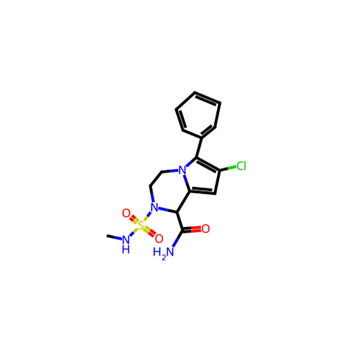 CNS(=O)(=O)N1CCn2c(cc(Cl)c2-c2ccccc2)C1C(N)=O